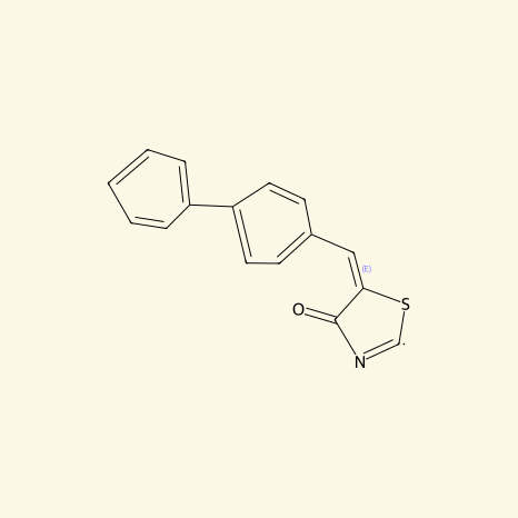 O=C1N=[C]S/C1=C/c1ccc(-c2ccccc2)cc1